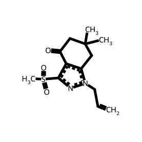 C=CCn1nc(S(C)(=O)=O)c2c1CC(C)(C)CC2=O